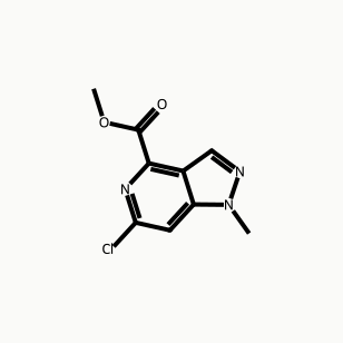 COC(=O)c1nc(Cl)cc2c1cnn2C